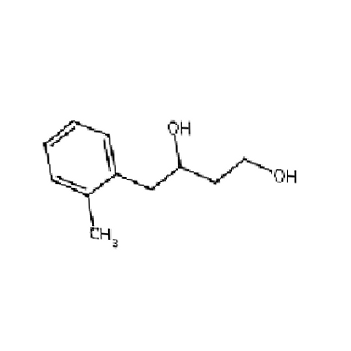 Cc1ccccc1CC(O)CCO